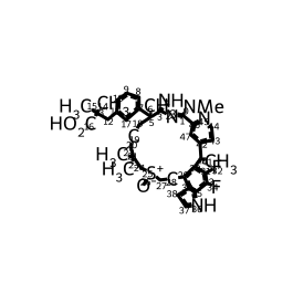 CN/C1=N\C(=N)[C@@](C)(c2cccc(CC(C)(C)C(=O)O)c2)CCCC(C)(C)C[S+]([O-])CCc2c(c(F)c(F)c3[nH]ccc23)C(C)c2ccnc1c2